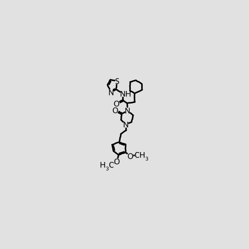 COc1ccc(CCN2CCN(C(CC3CCCCC3)C(=O)Nc3nccs3)C(=O)C2)cc1OC